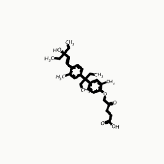 CCC(O)(C=Cc1ccc(C(CC)(CC)c2ccc(OCC(=O)CCC(=O)O)c(C)c2)cc1C)CC